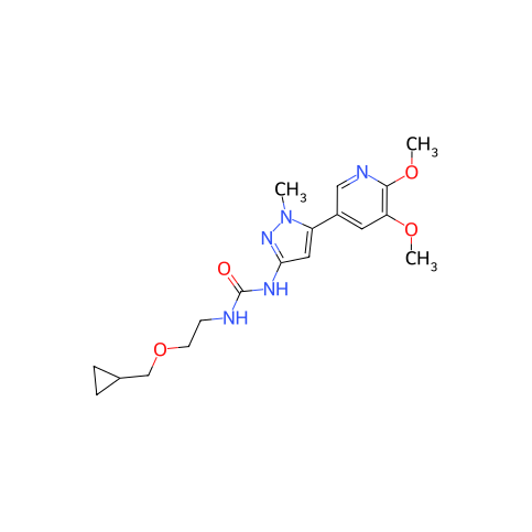 COc1cc(-c2cc(NC(=O)NCCOCC3CC3)nn2C)cnc1OC